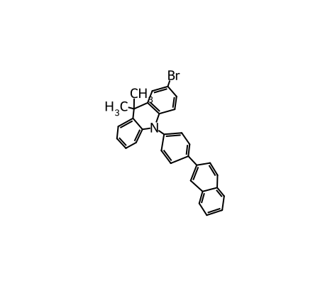 CC1(C)c2ccccc2N(c2ccc(-c3ccc4ccccc4c3)cc2)c2ccc(Br)cc21